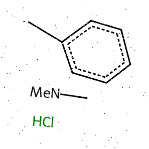 CNC.Cl.[CH2]c1ccccc1